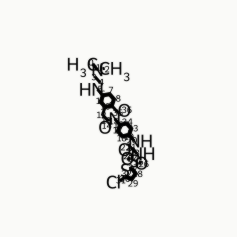 CN(C)CCNc1ccc2c(c1)CC(=O)N(c1ccc(NC(=O)NS(=O)(=O)c3ccc(Cl)s3)cc1)C2=O